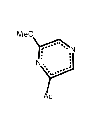 COc1cncc(C(C)=O)n1